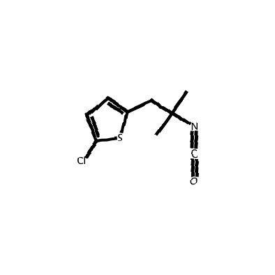 CC(C)(Cc1ccc(Cl)s1)N=C=O